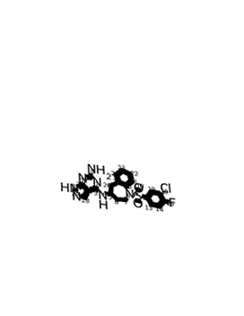 Nc1nc(NC2CCN(S(=O)(=O)c3ccc(F)c(Cl)c3)c3ccccc3C2)c2cn[nH]c2n1